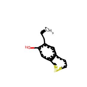 CCc1cc2ccsc2cc1O